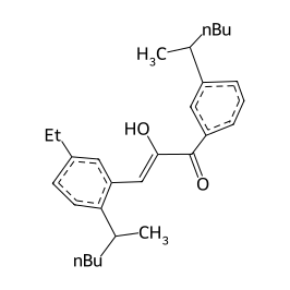 CCCCC(C)c1cccc(C(=O)C(O)=Cc2cc(CC)ccc2C(C)CCCC)c1